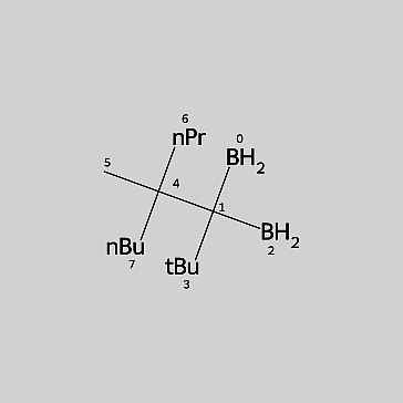 BC(B)(C(C)(C)C)C(C)(CCC)CCCC